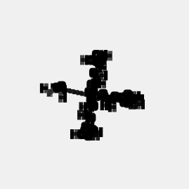 CC(=O)N[C@H]1C(O)[C@@H](O)C(CO)O[C@H]1OCCCCC(=O)NCCCNC(=O)CCOCC(COCCC(=O)NCCCNC(=O)CCCCO[C@@H]1OC(CO)[C@H](O)C(O)[C@@H]1NC(C)=O)(COCCC(=O)NCCCNC(=O)CCCCO[C@@H]1OC(I)(CO)[C@H](O)C(O)[C@@H]1NC(C)=O)NC(=O)CCCCCCCCCCCCNC(=O)CON